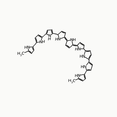 Cc1ccc(-c2ccc(-c3ccc(C4C=C/C(=c5/cc/c(=C6/C=CC(c7ccc(-c8ccc(-c9ccc(C)[nH]9)[nH]8)[nH]7)N6)[nH]5)N4)[nH]3)[nH]2)[nH]1